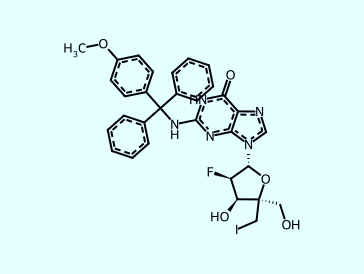 COc1ccc(C(Nc2nc3c(ncn3[C@@H]3O[C@@](CO)(CI)[C@@H](O)[C@H]3F)c(=O)[nH]2)(c2ccccc2)c2ccccc2)cc1